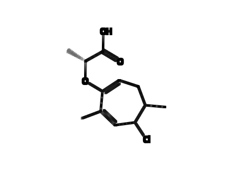 CC1=CC(Cl)C(C)CC=C1O[C@H](C)C(=O)O